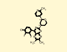 Cc1cc([C@@H]2C[C@H](c3nc(-c4ccc(Cl)c(F)c4F)c4nc(C)c(C)nc4n3)CCO2)ccn1